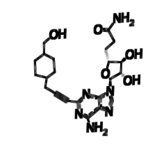 NC(=O)CC[C@H]1O[C@H](n2cnc3c(N)nc(C#CCC4CCC(CO)CC4)nc32)[C@@H](O)[C@@H]1O